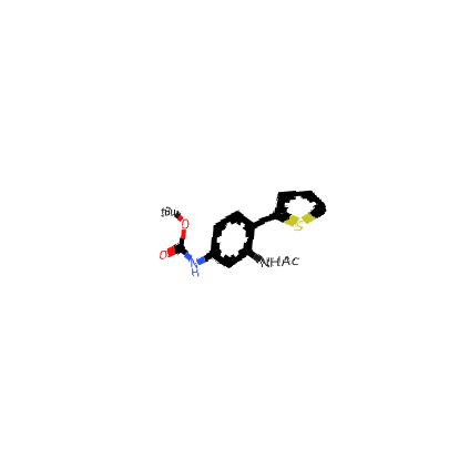 CC(=O)Nc1cc(NC(=O)OC(C)(C)C)ccc1-c1cccs1